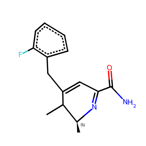 CC1C(Cc2ccccc2F)=CC(C(N)=O)=N[C@H]1C